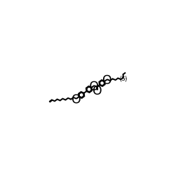 C=CCCCCCCCCOc1ccc(-c2ccc(OC(=O)c3ccc(OCCCCC[C@@H](C)CC)cc3)cc2)cc1